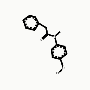 CCOc1ccc(N(C)C(=S)Cc2ccccc2)cc1